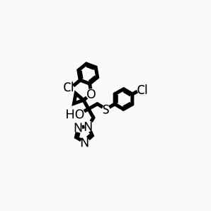 OC(CSc1ccc(Cl)cc1)(Cn1cncn1)C1(Oc2ccccc2Cl)CC1